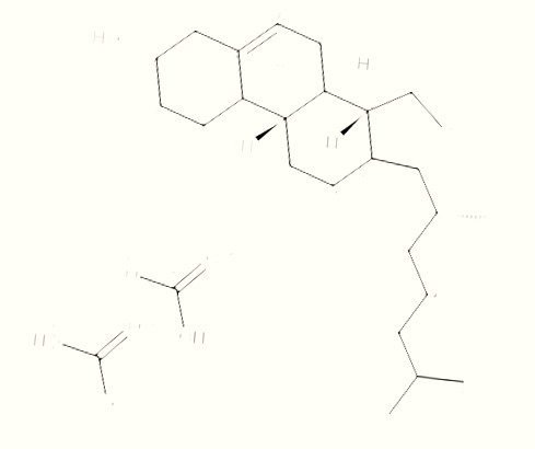 CC(C)CCC[C@@H](C)[C@H]1CC[C@H]2[C@@H]3CC=C4C[C@@H](O)CC[C@]4(C)[C@H]3CC[C@]12C.O=C(O)O.O=C(O)O